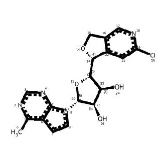 Cc1ncnc2c1ccn2[C@@H]1O[C@H]([C@@H]2OCc3cnc(Cl)cc32)[C@@H](O)[C@H]1O